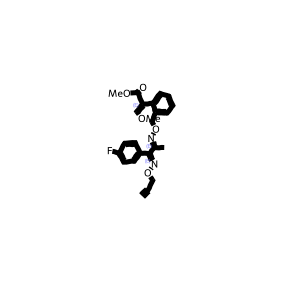 C#CCO/N=C(/C(C)=N/OCc1ccccc1/C(=C\OC)C(=O)OC)c1ccc(F)cc1